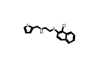 Clc1c(SCCNCc2cccs2)ccc2ccccc12